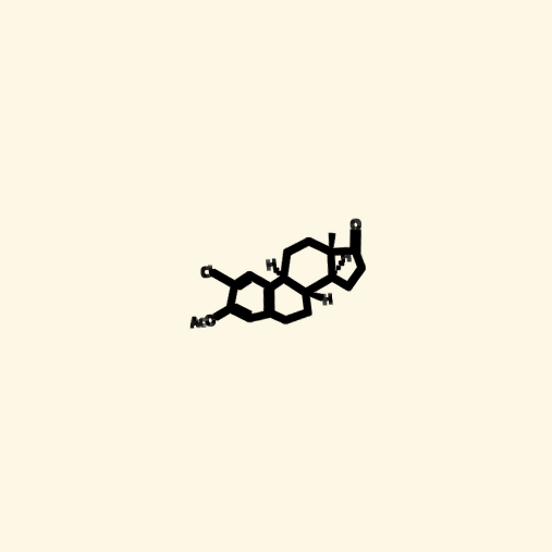 CC(=O)Oc1cc2c(cc1Cl)[C@H]1CC[C@]3(C)C(=O)CC[C@H]3[C@@H]1CC2